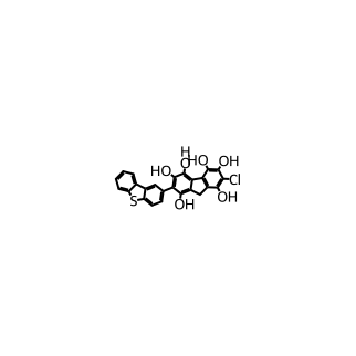 Oc1c(O)c2c(c(O)c1Cl)Cc1c(O)c(-c3ccc4sc5ccccc5c4c3)c(O)c(O)c1-2